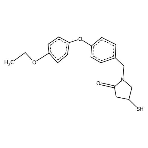 CCOc1ccc(Oc2ccc(CN3CC(S)CC3=O)cc2)cc1